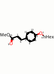 CCCCCCOc1ccc(/C=C/C(=O)OC)cc1